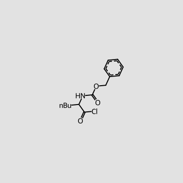 CCCCC(NC(=O)OCc1ccccc1)C(=O)Cl